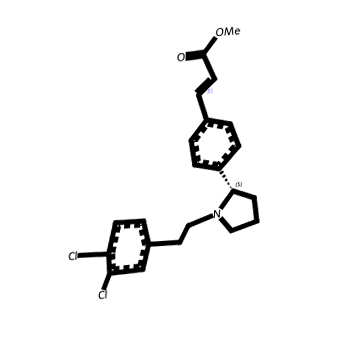 COC(=O)/C=C/c1ccc([C@@H]2CCCN2CCc2ccc(Cl)c(Cl)c2)cc1